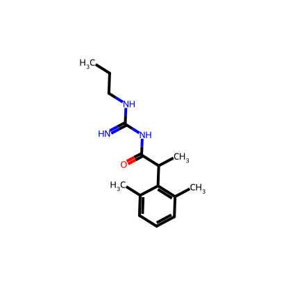 CCCNC(=N)NC(=O)C(C)c1c(C)cccc1C